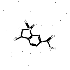 COC(=O)c1ccc2c(c1)S(=O)(=O)CC2Cl